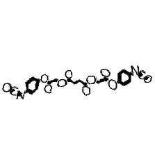 O=C=Nc1ccc(OC(=O)COC(=O)CCC(=O)OCC(=O)Oc2ccc(N=C=O)cc2)cc1